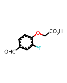 O=Cc1ccc(OCC(=O)O)c(F)c1